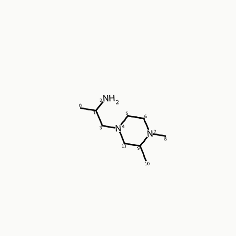 CC(N)CN1CCN(C)C(C)C1